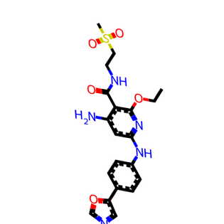 CCOc1nc(Nc2ccc(-c3cnco3)cc2)cc(N)c1C(=O)NCCS(C)(=O)=O